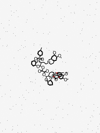 COc1cc2c(cc1OC)CN(CCC1C(OC(=O)C(=O)OC3Oc4ccccc4N(S(=O)(=O)c4ccc(C)cc4)C3CCN3CCc4cc(OC)c(OC)cc4C3)Oc3ccccc3N1S(=O)(=O)c1ccc(C)cc1)CC2